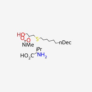 CC(C)[C@H](N)C(=O)O.CCCCCCCCCCCCCCCCSCC(CO)OC(=O)NC